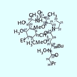 CCC1=C(C)C(C)C=C([C@H](O)C(C)NC(=O)[C@H](C)[C@@H](OC)[C@@H]2CCCN2C(=O)C[C@@H](OC)[C@H]([C@@H](C)CC)N(C)C(=O)CC(C)C)C1C